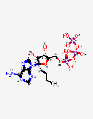 CCCC[C@@]1(n2cnc3c(N)ncnc32)O[C@H](COP(=O)(O)OP(=O)(O)OP(=O)(O)O)[C@@H](O)[C@H]1O